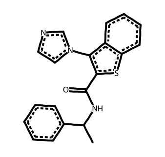 CC(NC(=O)c1sc2ccccc2c1-n1ccnc1)c1ccccc1